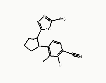 Cc1c(N2CCCC2c2nnc(N)o2)ccc(C#N)c1Cl